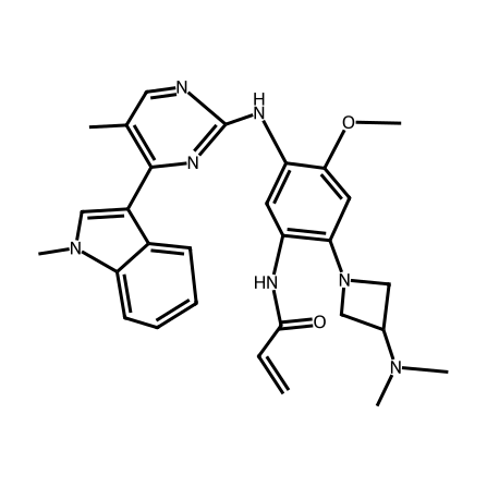 C=CC(=O)Nc1cc(Nc2ncc(C)c(-c3cn(C)c4ccccc34)n2)c(OC)cc1N1CC(N(C)C)C1